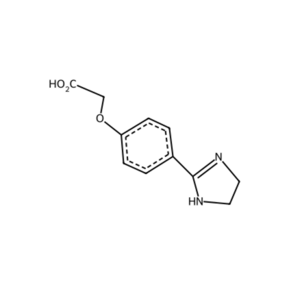 O=C(O)COc1ccc(C2=NCCN2)cc1